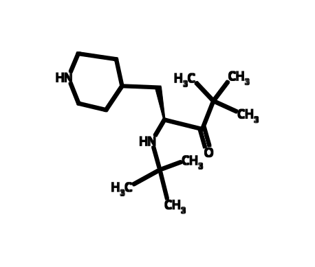 CC(C)(C)N[C@@H](CC1CCNCC1)C(=O)C(C)(C)C